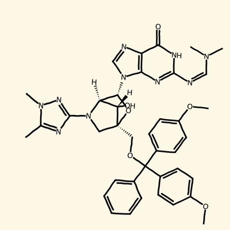 COc1ccc(C(OC[C@@]23CN(c4nc(C)n(C)n4)[C@@H]([C@H](n4cnc5c(=O)[nH]c(/N=C\N(C)C)nc54)O2)[C@@H]3O)(c2ccccc2)c2ccc(OC)cc2)cc1